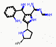 CCC[C@@H]1CC[C@H](c2cc(C(=N)c3ccccc3N)c(/C(N)=N\C=N)[nH]2)N1